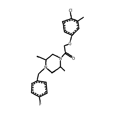 Cc1cc(OCC(=O)N2CC(C)N(Cc3ccc(F)cc3)CC2C)ccc1Cl